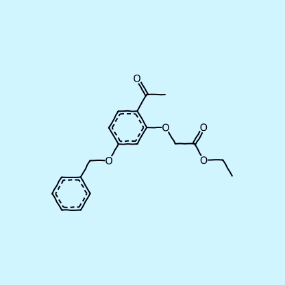 CCOC(=O)COc1cc(OCc2ccccc2)ccc1C(C)=O